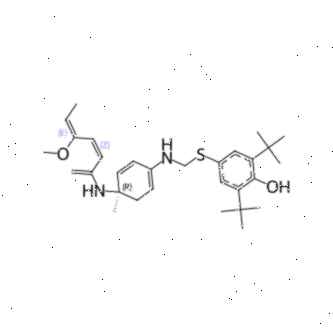 C=C(/C=C\C(=C/C)OC)N[C@@]1(C)C=CC(NCSc2cc(C(C)(C)C)c(O)c(C(C)(C)C)c2)=CC1